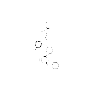 CNC[C@H](CC1CCCCC1)NC(=O)N1CCCC(N(CCCNC(=O)OC)c2cccc(Cl)c2)C1